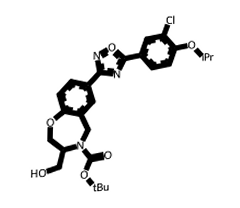 CC(C)Oc1ccc(-c2nc(-c3ccc4c(c3)CN(C(=O)OC(C)(C)C)C(CO)CO4)no2)cc1Cl